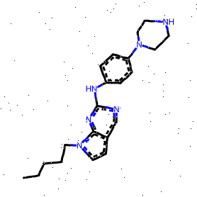 CCCCCn1ccc2cnc(Nc3ccc(N4CCNCC4)cc3)nc21